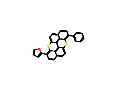 c1ccc(-c2ccc3ccc4sc5c(-c6ccco6)ccc6ccc7sc2c3c4-c7c65)cc1